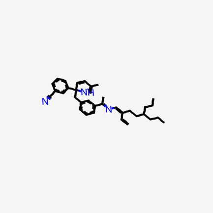 C=C/C(=C\N=C(/C)c1cccc(CC(/C=C\C(=C)C)(NC)c2cccc(C#N)c2)c1)CCC(CCC)CCC